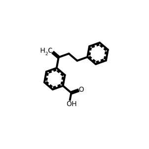 C=C(CCc1ccccc1)c1cccc(C(=O)O)c1